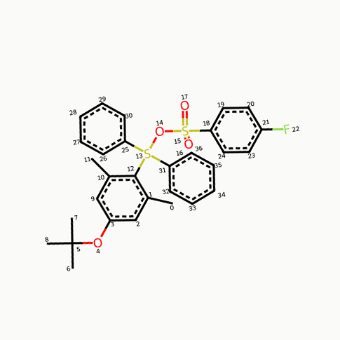 Cc1cc(OC(C)(C)C)cc(C)c1S(OS(=O)(=O)c1ccc(F)cc1)(c1ccccc1)c1ccccc1